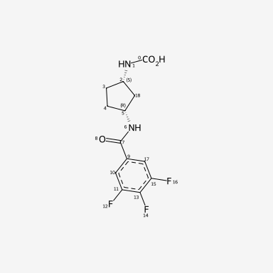 O=C(O)N[C@H]1CC[C@@H](NC(=O)c2cc(F)c(F)c(F)c2)C1